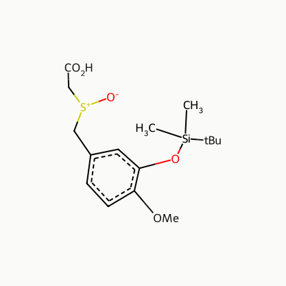 COc1ccc(C[S+]([O-])CC(=O)O)cc1O[Si](C)(C)C(C)(C)C